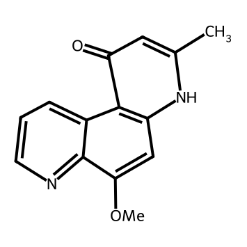 COc1cc2[nH]c(C)cc(=O)c2c2cccnc12